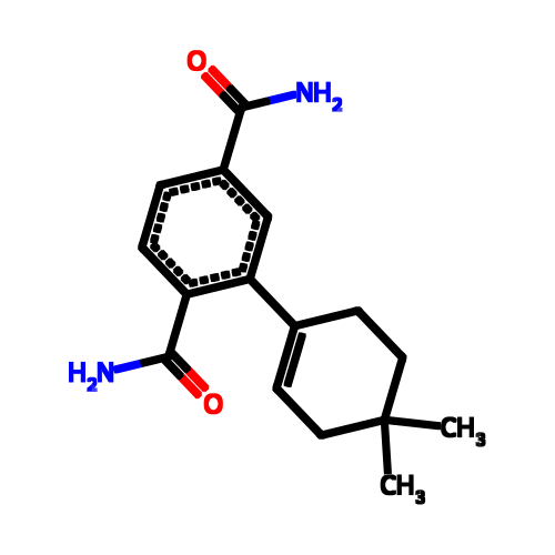 CC1(C)CC=C(c2cc(C(N)=O)ccc2C(N)=O)CC1